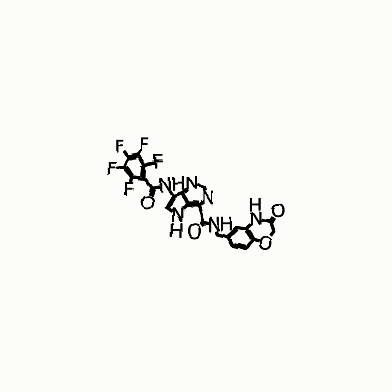 O=C1COc2ccc(CNC(=O)c3ncnc4c(NC(=O)c5c(F)c(F)c(F)c(F)c5F)c[nH]c34)cc2N1